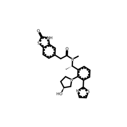 C[C@@H](c1cccc(-c2nccs2)c1N1CC[C@H](O)C1)N(C)C(=O)Cc1ccc2sc(=O)[nH]c2c1